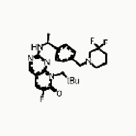 C[C@H](Nc1ncc2cc(F)c(=O)n(CC(C)(C)C)c2n1)c1ccc(CN2CCCC(F)(F)C2)cc1